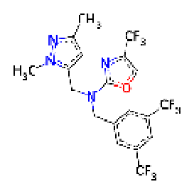 Cc1cc(CN(Cc2cc(C(F)(F)F)cc(C(F)(F)F)c2)c2nc(C(F)(F)F)co2)n(C)n1